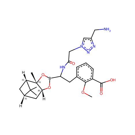 COc1c(CC(NC(=O)Cn2cc(CN)nn2)B2O[C@@H]3C[C@@H]4C[C@@H](C4(C)C)[C@]3(C)O2)cccc1C(=O)O